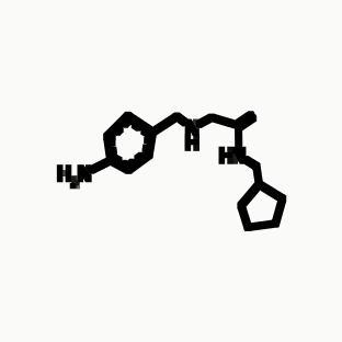 C=C(CNCc1ccc(N)cc1)NCC1CCCC1